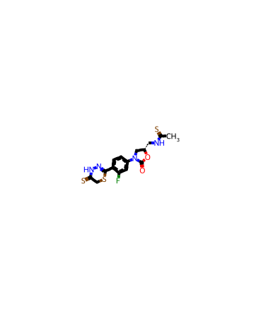 CC(=S)NC[C@H]1CN(c2ccc(C3=NNC(=S)CS3)c(F)c2)C(=O)O1